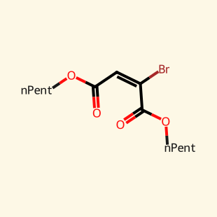 CCCCCOC(=O)/C=C(/Br)C(=O)OCCCCC